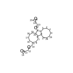 C1CCCCC(C2CCC(COCC3CO3)CCCCC2COCC2CO2)CCC1